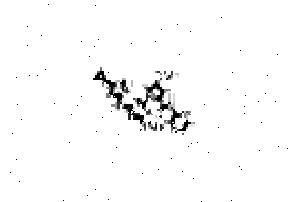 COc1nc(Nc2cc(C3CC3)[nH]n2)nc(N2C[C@@H](OC)C[C@H]2C(=O)Nc2cnccn2)n1